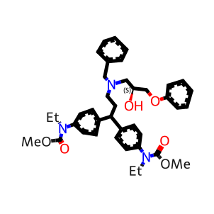 CCN(C(=O)OC)c1ccc(C(CCN(Cc2ccccc2)C[C@H](O)COc2ccccc2)c2ccc(N(CC)C(=O)OC)cc2)cc1